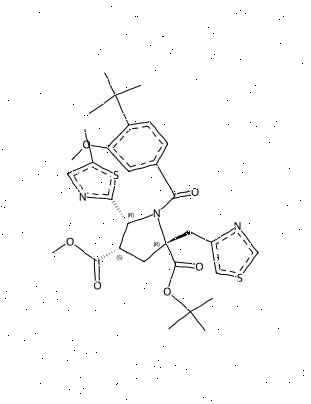 COC(=O)[C@H]1C[C@@](Cc2cscn2)(C(=O)OC(C)(C)C)N(C(=O)c2ccc(C(C)(C)C)c(OC)c2)[C@H]1c1ncc(C)s1